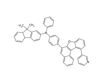 CC1(C)c2cc(N(c3ccccc3)c3ccc(-c4cc5ccccc5c5c4oc4cccc(-c6cccnc6)c45)cc3)ccc2C2C=CC=CC21